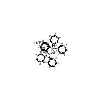 Cl.c1ccc([PH](N[PH](c2ccccc2)(c2ccccc2)c2ccccc2)(c2ccccc2)c2ccccc2)cc1